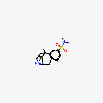 CN(C)S(=O)(=O)c1ccc2c(c1)C1(C)CCNC(C2)C1(C)C